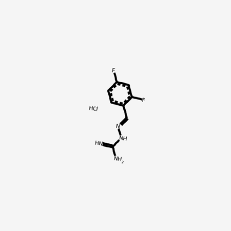 Cl.N=C(N)NN=Cc1ccc(F)cc1F